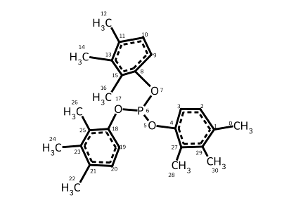 Cc1ccc(OP(Oc2ccc(C)c(C)c2C)Oc2ccc(C)c(C)c2C)c(C)c1C